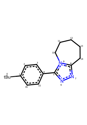 CC(C)(C)c1ccc(-c2nnc3n2CCCCC3)cc1